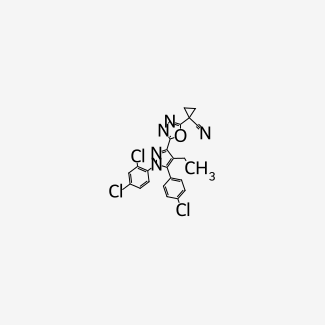 CCc1c(-c2nnc(C3(C#N)CC3)o2)nn(-c2ccc(Cl)cc2Cl)c1-c1ccc(Cl)cc1